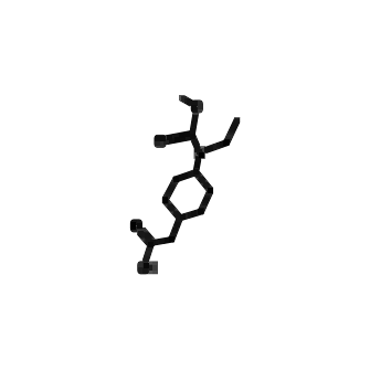 CCN(C(=O)OC)C1CCC(CC(=O)O)CC1